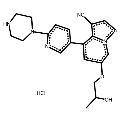 CC(O)COc1cc(-c2ccc(N3CCNCC3)nc2)c2c(C#N)cnn2c1.Cl